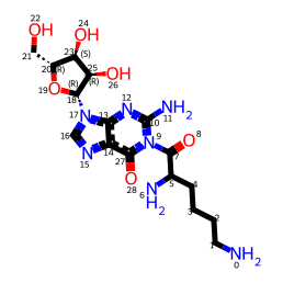 NCCCCC(N)C(=O)n1c(N)nc2c(ncn2[C@@H]2O[C@H](CO)[C@@H](O)[C@H]2O)c1=O